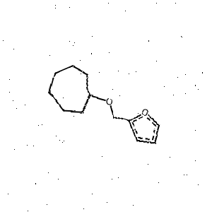 c1coc(COC2CCCCCC2)c1